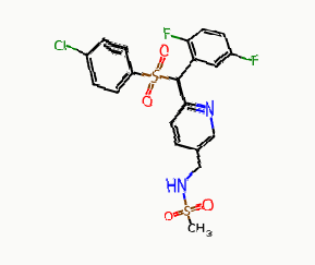 CS(=O)(=O)NCc1ccc(C(c2cc(F)ccc2F)S(=O)(=O)c2ccc(Cl)cc2)nc1